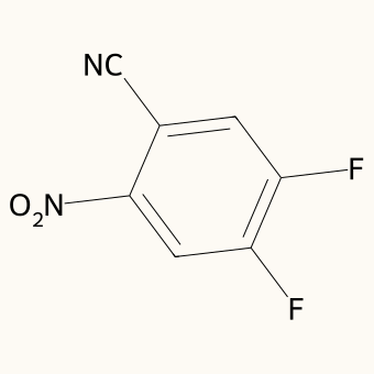 N#Cc1cc(F)c(F)cc1[N+](=O)[O-]